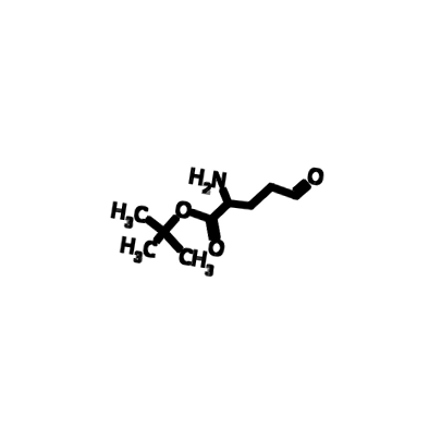 CC(C)(C)OC(=O)C(N)CCC=O